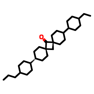 CCCC1CCC([C@H]2CC[C@]3(CC2)C[C@@]2(CCC(C4CCC(CC)CC4)CC2)C3=O)CC1